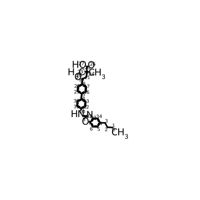 CCCCc1ccc2oc(Nc3ccc(-c4ccc(C(=O)CC(C)(C)C(=O)O)cc4)cc3)nc2c1